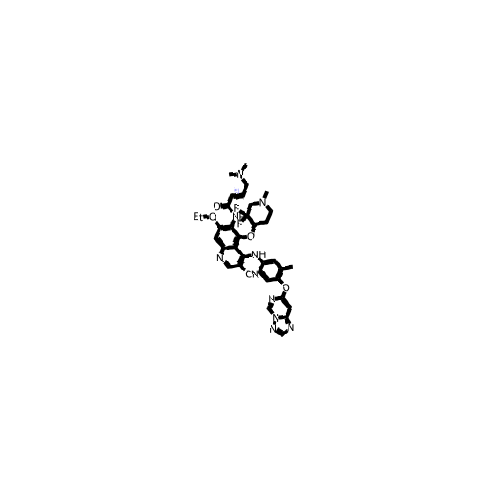 CCOc1cc2ncc(C#N)c(Nc3ccc(Oc4cc5ncnn5cn4)c(C)c3)c2c(OC2CCN(C)CC2(F)F)c1NC(=O)/C=C/CN(C)C